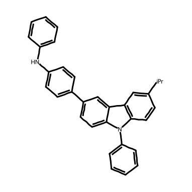 CC(C)c1ccc2c(c1)c1cc(-c3ccc(Nc4ccccc4)cc3)ccc1n2-c1ccccc1